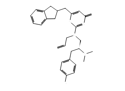 C=CCN(C[C@H](Cc1ccc(O)cc1)N(C)C)c1nc(=O)cc(CC2Cc3ccccc3C2)[nH]1